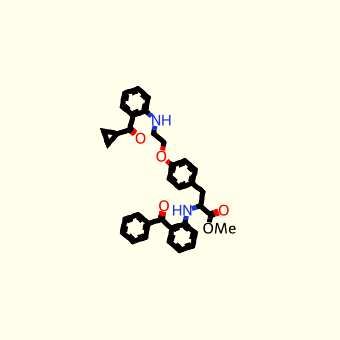 COC(=O)C(Cc1ccc(OCCNc2ccccc2C(=O)C2CC2)cc1)Nc1ccccc1C(=O)c1ccccc1